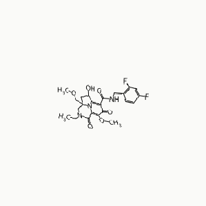 CCN1CC2(COC)CC(O)c3c(C(=O)NCc4ccc(F)cc4F)c(=O)c(OC)c(n32)C1=O